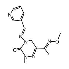 CON=C(C)C1=NNC(=O)N(N=Cc2cccnc2)C1